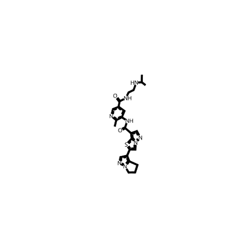 Cc1ncc(C(=O)NCCNC(C)C)cc1NC(=O)c1cnn2cc(-c3cnn4c3CCC4)sc12